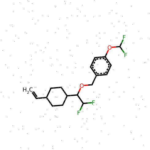 C=CC1CCC(C(OCc2ccc(OC(F)F)cc2)C(F)F)CC1